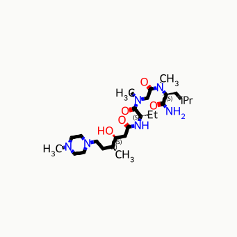 CC[C@H](NC(=O)C[C@H](O)[C@H](C)CCN1CCN(C)CC1)C(=O)N(C)CC(=O)N(C)[C@@H](CC(C)C)C(N)=O